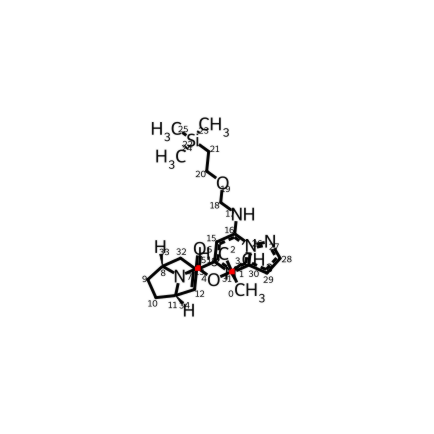 CC(C)(C)OC(=O)N1[C@@H]2CC[C@H]1C=C(c1cc(NCOCC[Si](C)(C)C)n3nccc3n1)C2